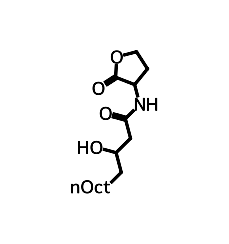 CCCCCCCCCC(O)CC(=O)NC1CCOC1=O